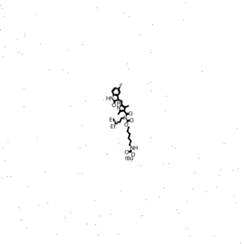 CCN(CC)CCN(C(=O)OCCCCCCNC(=O)OC(C)(C)C)C(=O)c1c(C)[nH]c(/C=C2\C(=O)Nc3ccc(F)cc32)c1C